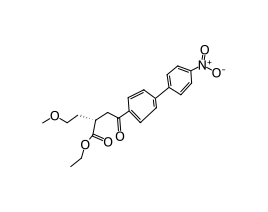 CCOC(=O)[C@H](CCOC)CC(=O)c1ccc(-c2ccc([N+](=O)[O-])cc2)cc1